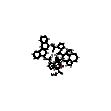 CN[C@@H](C)C(=O)NC(C(=O)N1CCC[C@H]1C(=O)N[C@@H]1CCCc2ccccc21)c1nnn2c1-c1c(C[C@H](NC(=O)[C@H](C)NC)C(=O)N3CCC[C@H]3C(=O)N[C@@H]3CCCc4ccccc43)nnn1CCC2